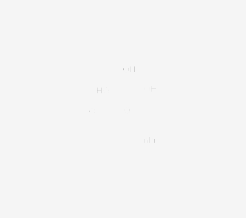 CCCC=C(C)C(=O)OC(O)(O)O